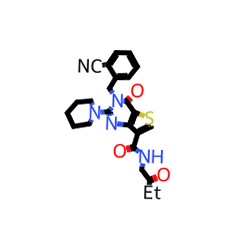 CCC(=O)CNC(=O)c1csc2c(=O)n(Cc3ccccc3C#N)c(N3CCCCC3)nc12